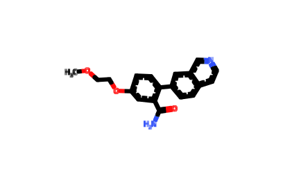 COCCOc1ccc(-c2ccc3ccncc3c2)c(C(N)=O)c1